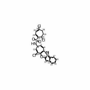 O=S(=O)(NC1C=CC(Cl)=C(Oc2cc3ccccc3[nH]2)C(Cl)=C1)C1=CC=C(Cl)CCC1Cl